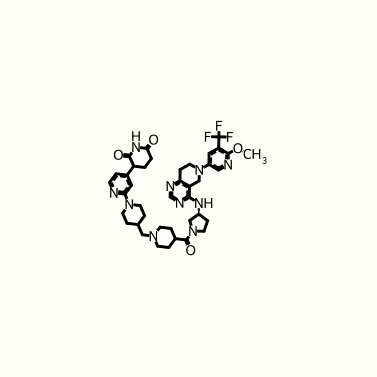 COc1ncc(N2CCc3ncnc(N[C@H]4CCN(C(=O)C5CCN(CC6CCN(c7cc(C8CCC(=O)NC8=O)ccn7)CC6)CC5)C4)c3C2)cc1C(F)(F)F